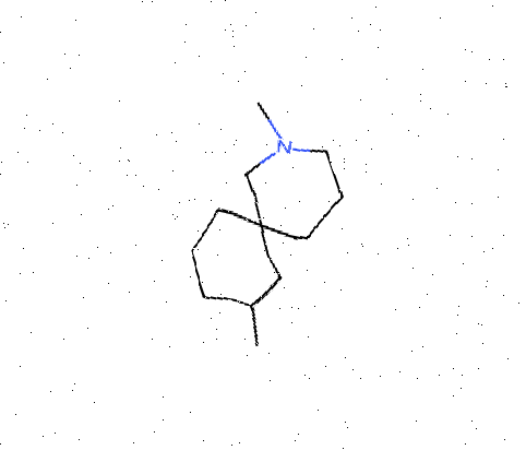 CC1CCCC2(CCCN(C)C2)C1